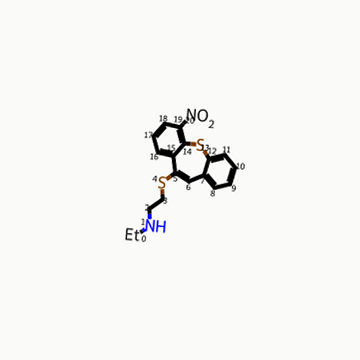 CCNCCSC1=Cc2ccccc2Sc2c1cccc2[N+](=O)[O-]